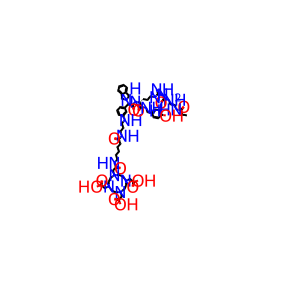 CCC(=O)NCCNC(=O)/N=C(/N)NCCC[C@@H](NC(=O)[C@H](c1cccc(NCCCNC(=O)CCCCCNC(=O)CN2CCN(CC(=O)O)CCN(CC(=O)O)CCN(CC(=O)O)CC2)c1)N1Cc2ccccc2C1)C(=O)NCc1ccc(O)cc1